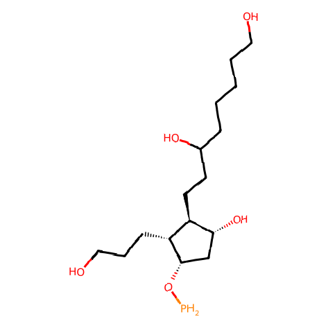 OCCCCCC(O)CC[C@@H]1[C@@H](CCCO)[C@@H](OP)C[C@H]1O